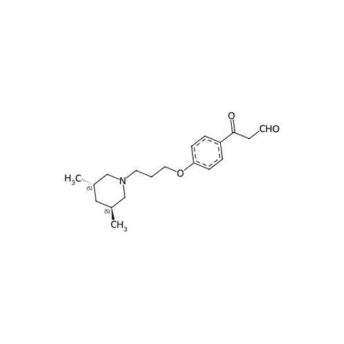 C[C@H]1C[C@H](C)CN(CCCOc2ccc(C(=O)CC=O)cc2)C1